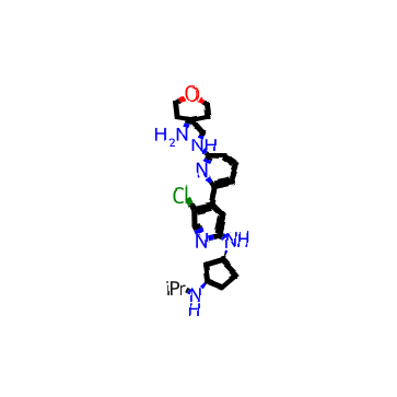 CC(C)N[C@@H]1CC[C@@H](Nc2cc(-c3cccc(NCC4(N)CCOCC4)n3)c(Cl)cn2)C1